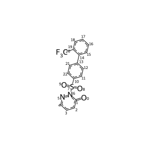 O=c1cccnn1S(=O)(=O)c1ccc(-c2ccccc2C(F)(F)F)cc1